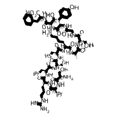 CC(C)C[C@H](NC(=O)[C@H](CCCNC(=N)N)NC(=O)[C@@H](NC(=O)[C@@H](N)CO)C(C)C)C(=O)N[C@@H](CO)C(=O)N[C@@H](CS)C(=O)N[C@@H](CCCCN)C(=O)N[C@@H](C)C(=O)N[C@@H](CO)C(=O)NCC(=O)N[C@@H](Cc1ccc(O)cc1)C(=O)N[C@H](C(=O)N[C@@H](Cc1ccccc1)C(=O)O)[C@@H](C)O